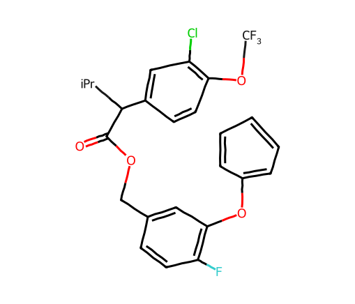 CC(C)C(C(=O)OCc1ccc(F)c(Oc2ccccc2)c1)c1ccc(OC(F)(F)F)c(Cl)c1